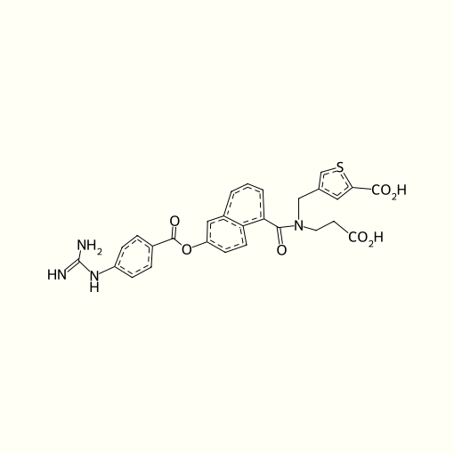 N=C(N)Nc1ccc(C(=O)Oc2ccc3c(C(=O)N(CCC(=O)O)Cc4csc(C(=O)O)c4)cccc3c2)cc1